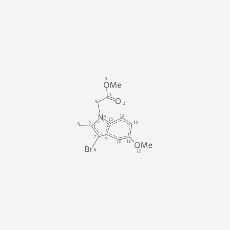 COC(=O)Cn1c(C)c(Br)c2cc(OC)ccc21